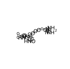 CC(NCCCCC(NC(=O)OCC1c2ccccc2-c2ccccc21)C(=O)NCCOCCOCCOCCOCc1ccc(COc2nc(N)nc3[nH]cnc23)cc1)=C1C(=O)CC(C)(C)CC1=O